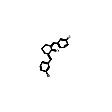 O=C1C(=Cc2cccc(Br)c2)CCCC1=Cc1cccc(Br)c1